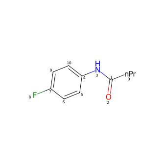 CCCC(=O)Nc1ccc(F)cc1